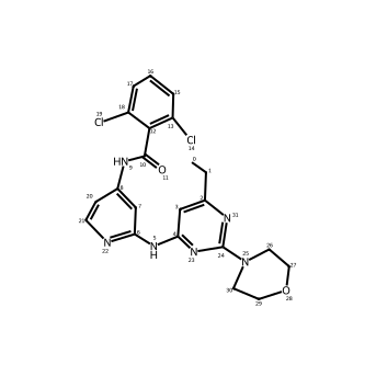 CCc1cc(Nc2cc(NC(=O)c3c(Cl)cccc3Cl)ccn2)nc(N2CCOCC2)n1